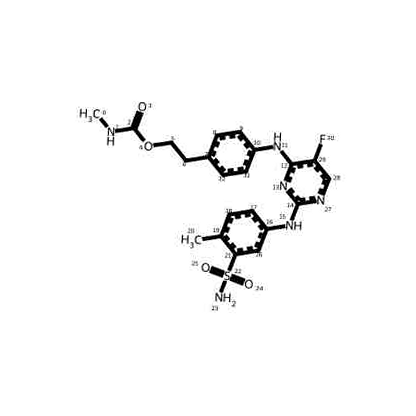 CNC(=O)OCCc1ccc(Nc2nc(Nc3ccc(C)c(S(N)(=O)=O)c3)ncc2F)cc1